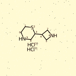 C1CSC(C2CNC2)CN1.Cl.Cl